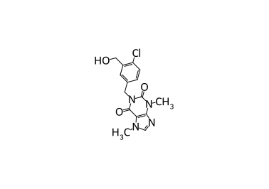 Cn1cnc2c1c(=O)n(Cc1ccc(Cl)c(CO)c1)c(=O)n2C